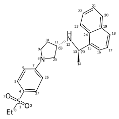 CCS(=O)(=O)c1ccc(N2CC[C@H](N[C@H](C)c3cccc4ccccc34)C2)cc1